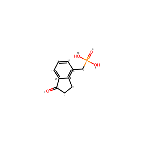 O=C1CCc2c(CP(=O)(O)O)cccc21